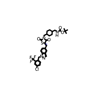 CC(C)(C)OC(=O)NCC1CCC(CN2C(=O)S/C(=C\c3ccc4c(cnn4Cc4ccc(Cl)cc4C(F)(F)F)c3)C2=O)CC1